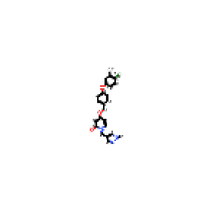 Cn1cc(Cn2ccc(OCc3ccc(Oc4ccc(Cl)c(C(F)(F)F)c4)cc3)cc2=O)cn1